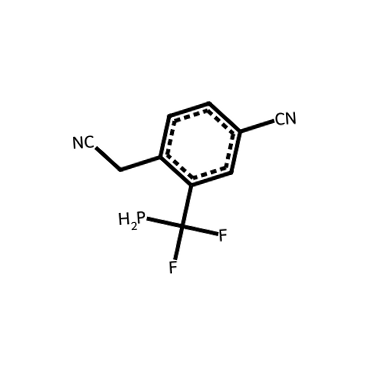 N#CCc1ccc(C#N)cc1C(F)(F)P